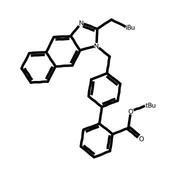 CCC(C)Cc1nc2cc3ccccc3cc2n1Cc1ccc(-c2ccccc2C(=O)OC(C)(C)C)cc1